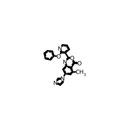 Cc1cc(-n2ccnc2)cc2nc(-c3cccnc3Oc3ccccc3)oc(=O)c12